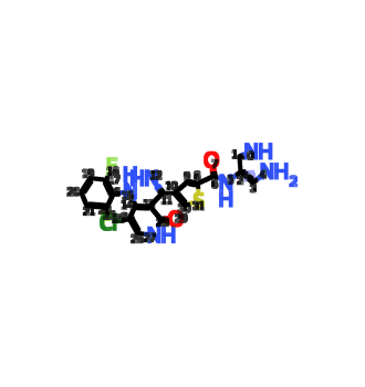 N=C/C(=C\N)NC(=O)c1cc(C(=N)c2c(Nc3c(F)cccc3F)c(Cl)c[nH]c2=O)cs1